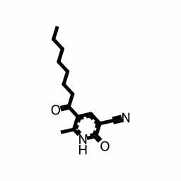 CCCCCCCC(=O)c1cc(C#N)c(=O)[nH]c1C